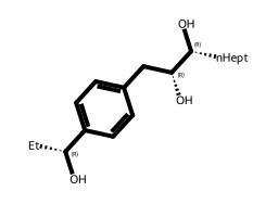 CCCCCCC[C@@H](O)[C@H](O)Cc1ccc([C@H](O)CC)cc1